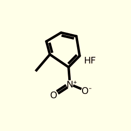 Cc1ccccc1[N+](=O)[O-].F